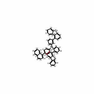 c1cc(-c2cccc3sc4ccccc4c23)cc(N(c2ccc(-c3cccc4ccccc34)cc2)c2ccccc2-c2cccc3c2sc2ccccc23)c1